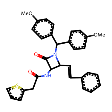 COc1ccc(C(c2ccc(OC)cc2)N2C(=O)C(NC(=O)Cc3cccs3)C2/C=C/c2ccccc2)cc1